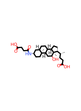 C[C@H](CCC(=O)O)[C@H]1CC[C@H]2[C@@H]3CC[C@@H]4C[C@@H](NC(=O)CCC(=O)O)CC[C@]4(C)[C@H]3C[C@H](O)[C@]12C